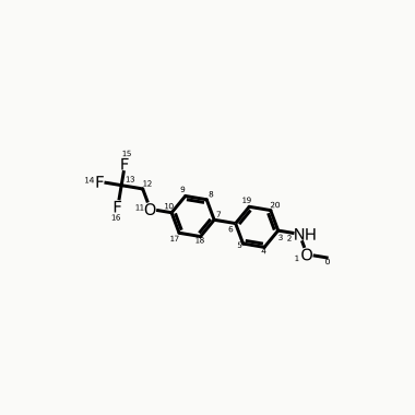 CONc1ccc(-c2ccc(OCC(F)(F)F)cc2)cc1